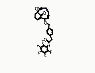 O=C(Cc1ccc(COC2C#C/C=C\C#CC3(O)CCC=C2C3=O)cc1)Oc1c(F)c(F)c(F)c(F)c1F